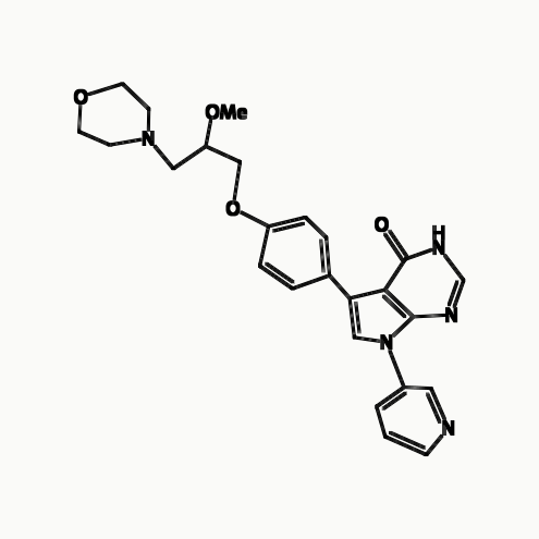 COC(COc1ccc(-c2cn(-c3cccnc3)c3nc[nH]c(=O)c23)cc1)CN1CCOCC1